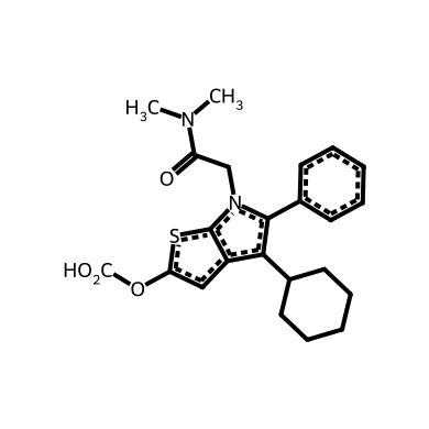 CN(C)C(=O)Cn1c(-c2ccccc2)c(C2CCCCC2)c2cc(OC(=O)O)sc21